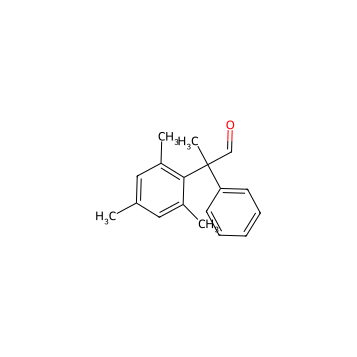 Cc1cc(C)c(C(C)(C=O)c2ccccc2)c(C)c1